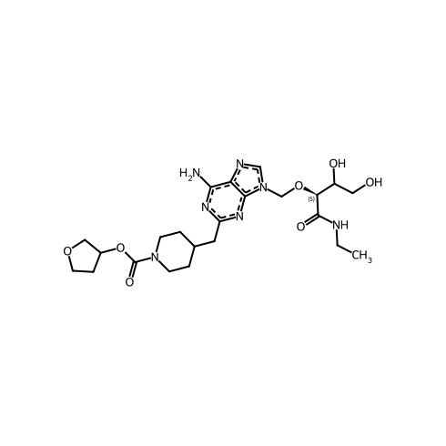 CCNC(=O)[C@@H](OCn1cnc2c(N)nc(CC3CCN(C(=O)OC4CCOC4)CC3)nc21)C(O)CO